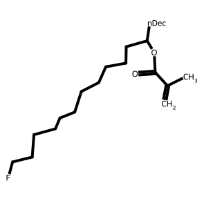 C=C(C)C(=O)OC(CCCCCCCCCC)CCCCCCCCCCCF